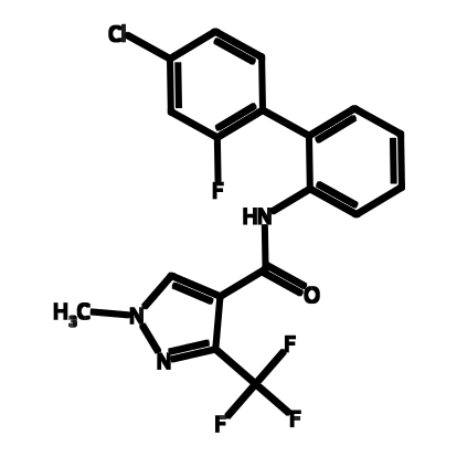 Cn1cc(C(=O)Nc2ccccc2-c2ccc(Cl)cc2F)c(C(F)(F)F)n1